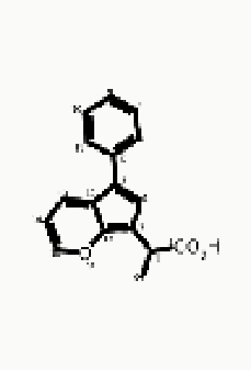 CC(C(=O)O)c1cc(-c2ccccc2)c2cccoc1-2